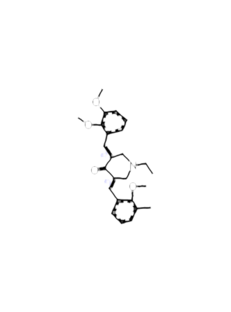 CCN1C/C(=C\c2cccc(C)c2OC)C(=O)/C(=C/c2cccc(OC)c2OC)C1